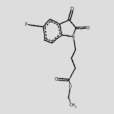 CCOC(=O)CCCN1C(=O)C(=O)c2cc(F)ccc21